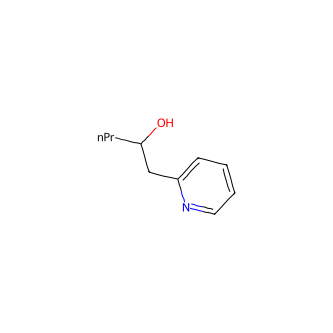 CCCC(O)Cc1ccccn1